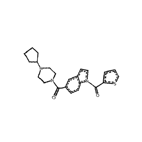 O=C(c1ccc2c(ccn2C(=O)c2cccs2)c1)N1CCN(C2CCCC2)CC1